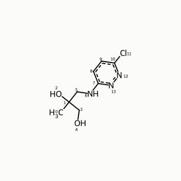 CC(O)(CO)CNc1ccc(Cl)nn1